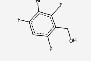 OCc1c(F)cc(F)c(Br)c1F